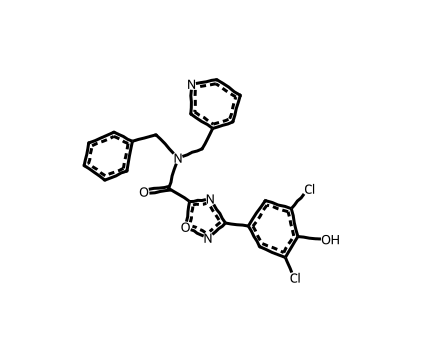 O=C(c1nc(-c2cc(Cl)c(O)c(Cl)c2)no1)N(Cc1ccccc1)Cc1cccnc1